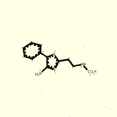 Nc1sc(CCNC(=O)O)nc1-c1ccccc1